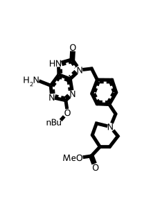 CCCCOc1nc(N)c2[nH]c(=O)n(Cc3ccc(CN4CCC(C(=O)OC)CC4)cc3)c2n1